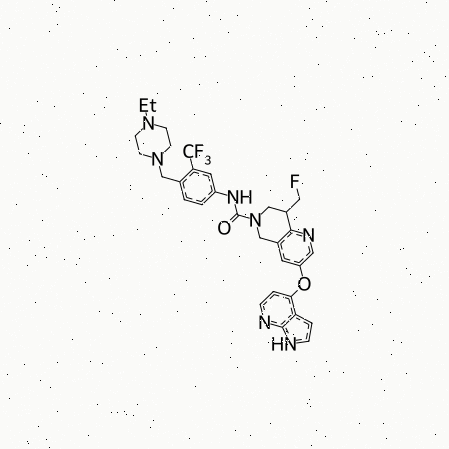 CCN1CCN(Cc2ccc(NC(=O)N3Cc4cc(Oc5ccnc6[nH]ccc56)cnc4C(CF)C3)cc2C(F)(F)F)CC1